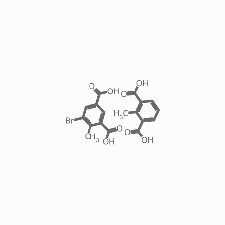 Cc1c(Br)cc(C(=O)O)cc1C(=O)O.Cc1c(C(=O)O)cccc1C(=O)O